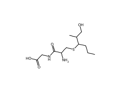 CCCC(SCC(N)C(=O)NCC(=O)O)C(C)CO